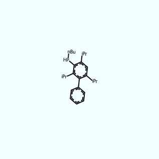 CCCCPc1c(C(C)C)cc(C(C)C)c(-c2ccccc2)c1C(C)C